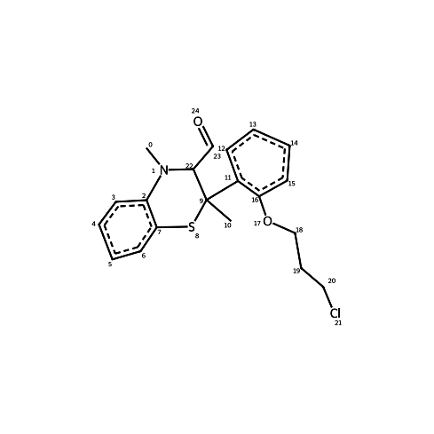 CN1c2ccccc2SC(C)(c2ccccc2OCCCCl)C1C=O